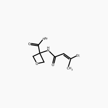 CCCC(=O)C1(NC(=O)/C=C(\C)CC)COC1